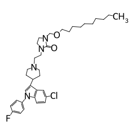 CCCCCCCCCCOCN1CCN(CCN2CCC(c3cn(-c4ccc(F)cc4)c4ccc(Cl)cc34)CC2)C1=O